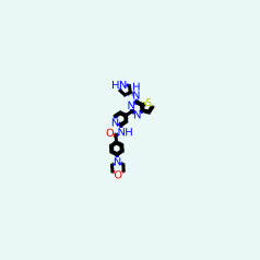 O=C(Nc1cc(-c2nc(N[C@@H]3CCNC3)c3sccc3n2)ccn1)c1ccc(N2CCOCC2)cc1